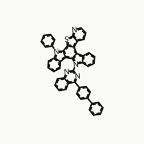 c1ccc(-c2ccc(-c3nc(-n4c5ccccc5c5c6c7cccnc7sc6c6c(c7ccccc7n6-c6ccccc6)c54)nc4ccccc34)cc2)cc1